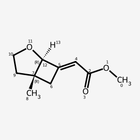 COC(=O)C=C1C[C@]2(C)CCO[C@@H]12